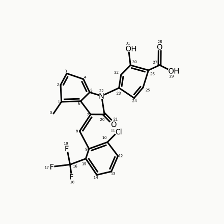 Cc1cccc2c1/C(=C/c1c(Cl)cccc1C(F)(F)F)C(=O)N2c1ccc(C(=O)O)c(O)c1